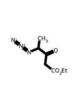 CCOC(=O)CC(=O)C(C)N=[N+]=[N-]